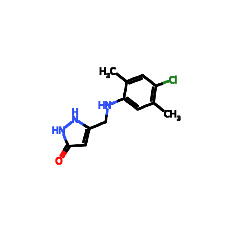 Cc1cc(NCc2cc(=O)[nH][nH]2)c(C)cc1Cl